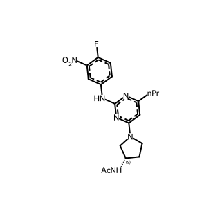 CCCc1cc(N2CC[C@H](NC(C)=O)C2)nc(Nc2ccc(F)c([N+](=O)[O-])c2)n1